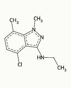 CCNc1nn(C)c2c(C)ccc(Cl)c12